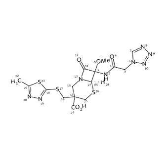 COC1(NC(=O)Cn2cnnn2)C(=O)N2CC(CSc3nnc(C)s3)(C(=O)O)CS[C@@H]21